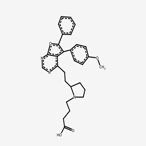 COc1ccc(-c2c(-c3ccccc3)oc3ncnc(CCC4CCCN4CCCC(=O)O)c23)cc1